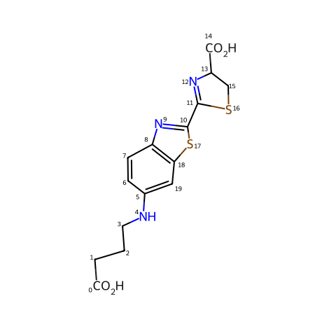 O=C(O)CCCNc1ccc2nc(C3=NC(C(=O)O)CS3)sc2c1